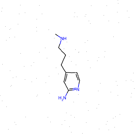 CNCCCc1ccnc(N)c1